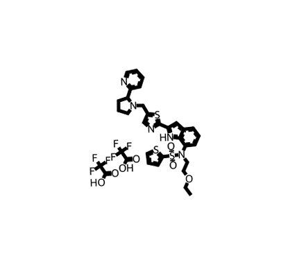 CCOCCN(c1cccc2cc(-c3ncc(CN4CCCC4c4ccccn4)s3)[nH]c12)S(=O)(=O)c1cccs1.O=C(O)C(F)(F)F.O=C(O)C(F)(F)F